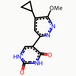 COc1nnc(-c2c[nH]c(=O)[nH]c2=O)cc1C1CC1